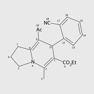 CCOC(=O)C1=C(C)N2CCCC2=C(C(C)=O)C1c1ccccc1C#N